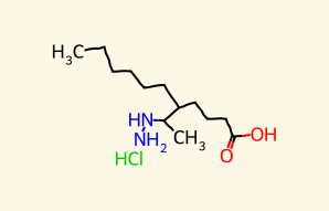 CCCCCCC(CCCC(=O)O)C(C)NN.Cl